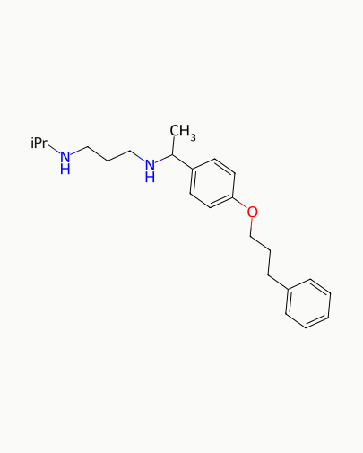 CC(C)NCCCNC(C)c1ccc(OCCCc2ccccc2)cc1